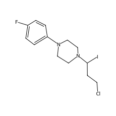 Fc1ccc(N2CCN(C(I)CCCl)CC2)cc1